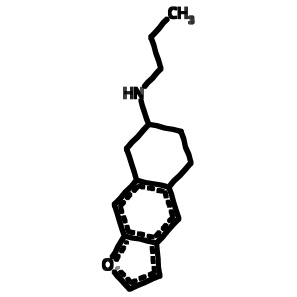 CCCNC1CCc2cc3ccoc3cc2C1